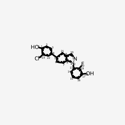 Oc1ccc(-c2ccc3c(cnn3-c3cccc(O)c3F)c2)cc1Cl